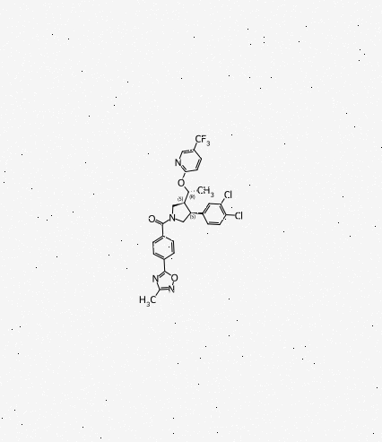 Cc1noc(-c2ccc(C(=O)N3C[C@@H]([C@@H](C)Oc4ccc(C(F)(F)F)cn4)[C@@H](c4ccc(Cl)c(Cl)c4)C3)cc2)n1